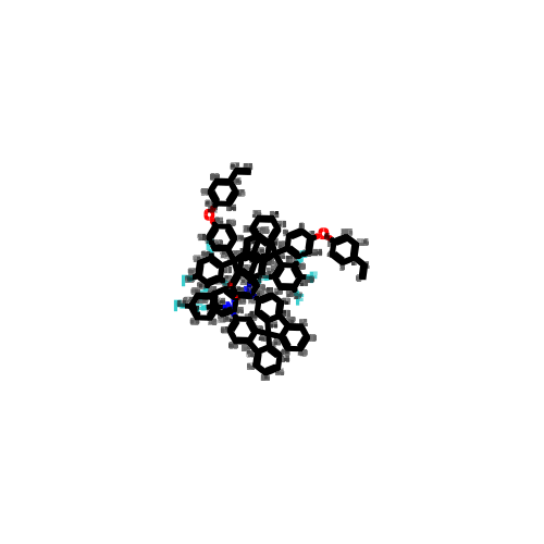 C=Cc1ccc(Oc2ccc(C3(c4c(F)cc(F)c(F)c4F)c4ccccc4-c4ccc(N(c5ccc(F)cc5)c5ccc6c(c5)C5(c7ccccc7-6)c6ccccc6-c6ccc(N(c7ccc(F)cc7)c7ccc8c(c7)C(c7ccc(Oc9ccc(C=C)cc9)cc7)(c7c(F)cc(F)c(F)c7F)c7ccccc7-8)cc65)cc43)cc2)cc1